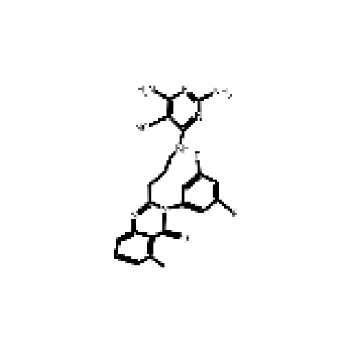 Cc1cccc2nc(CCCNc3nc(N)nc(N)c3C#N)n(-c3cc(F)cc(F)c3)c(=O)c12